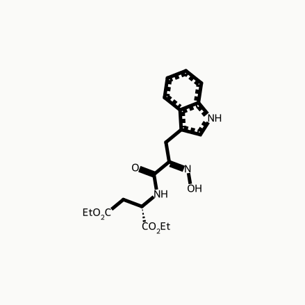 CCOC(=O)C[C@H](NC(=O)C(Cc1c[nH]c2ccccc12)=NO)C(=O)OCC